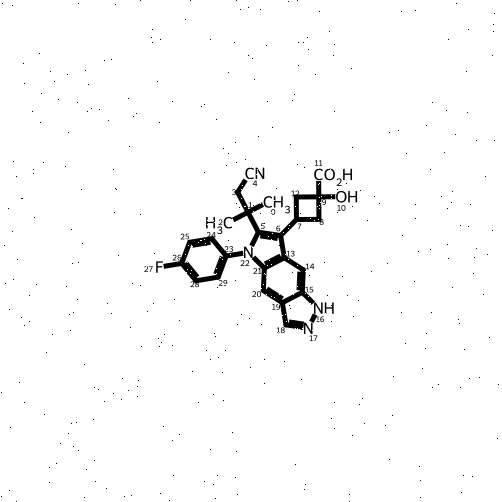 CC(C)(CC#N)c1c(C2CC(O)(C(=O)O)C2)c2cc3[nH]ncc3cc2n1-c1ccc(F)cc1